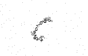 CN(CCC1CCN(Cc2cccc3c2n(C)c(=O)n3C2CCC(=O)NC2=O)CC1)C[C@H]1CC[C@H](n2cc(NC(=O)C3C=NN4C=CC(N5C[C@H](N)CC(F)(F)C5)=NC34)c(C(F)F)n2)CC1